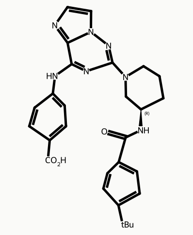 CC(C)(C)c1ccc(C(=O)N[C@@H]2CCCN(c3nc(Nc4ccc(C(=O)O)cc4)c4nccn4n3)C2)cc1